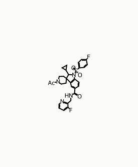 CC(=O)N1CCC2(CC1)c1cc(C(=O)NCc3ncccc3F)ccc1N(S(=O)(=O)c1ccc(F)cc1)C2C1CC1